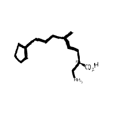 CC(CCCC1CCCC1)CC[C@H](CN)C(=O)O